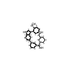 COc1ccccc1-c1c[nH]c2ncc(-c3cccc(C(=N)N4CCCC(CO)C4)c3)cc12